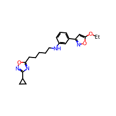 CCOc1cc(-c2cccc(NCCCCCc3nc(C4CC4)no3)c2)no1